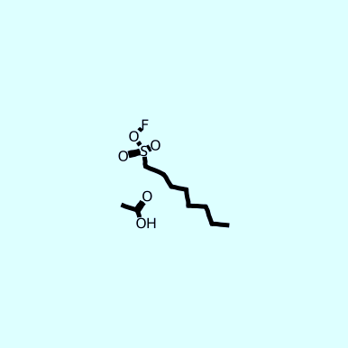 CC(=O)O.CCCCCCCCS(=O)(=O)OF